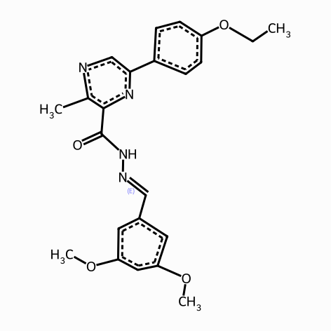 CCOc1ccc(-c2cnc(C)c(C(=O)N/N=C/c3cc(OC)cc(OC)c3)n2)cc1